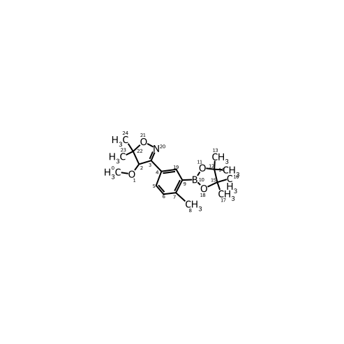 COC1C(c2ccc(C)c(B3OC(C)(C)C(C)(C)O3)c2)=NOC1(C)C